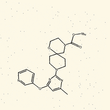 Cc1cc(Oc2cccnc2)nc(N2CCC3(CC2)CN(C(=O)OC(C)(C)C)CCO3)n1